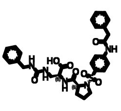 O=C(Cc1ccccc1)Nc1ccc(S(=O)(=O)N2CCC[C@H]2C(=O)N[C@@H](CNC(=O)NCc2ccccc2)C(=O)O)cc1